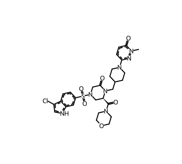 Cn1nc(N2CCC(CN3C(=O)CN(S(=O)(=O)c4ccc5c(Cl)c[nH]c5c4)C[C@@H]3C(=O)N3CCOCC3)CC2)ccc1=O